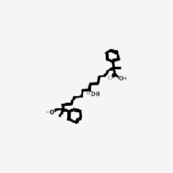 CC(CO)(CCCCC[C@H](O)CCCCCC(C)(C(=O)O)c1ccccc1)c1ccccc1